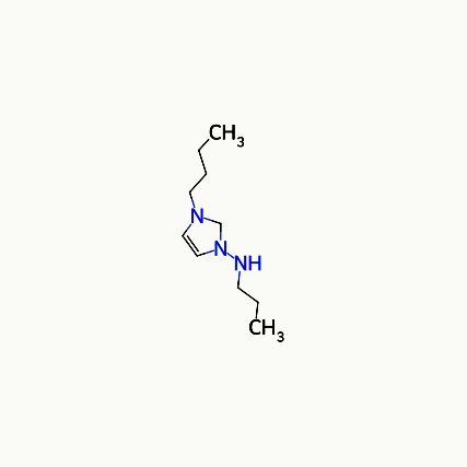 CCCCN1C=CN(NCCC)C1